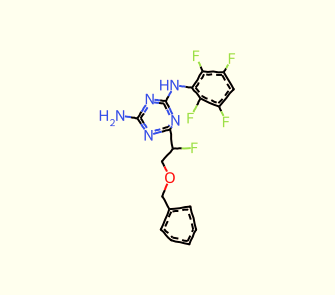 Nc1nc(Nc2c(F)c(F)cc(F)c2F)nc(C(F)COCc2ccccc2)n1